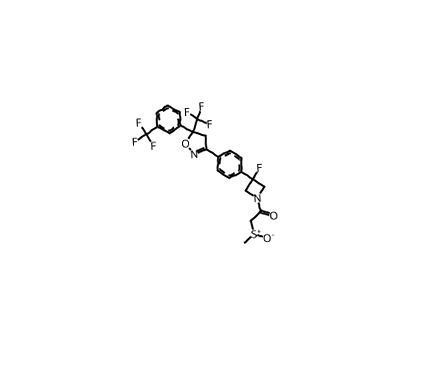 C[S+]([O-])CC(=O)N1CC(F)(c2ccc(C3=NOC(c4cccc(C(F)(F)F)c4)(C(F)(F)F)C3)cc2)C1